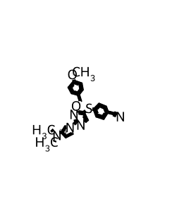 COc1ccc(COc2nc(N3CC[C@@H](N(C)C)C3)ncc2Sc2ccc(C#N)cc2)cc1